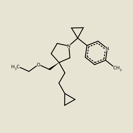 CCOC[C@@]1(CCC2CC2)CCN(C2(c3ccc(C)nc3)CC2)C1